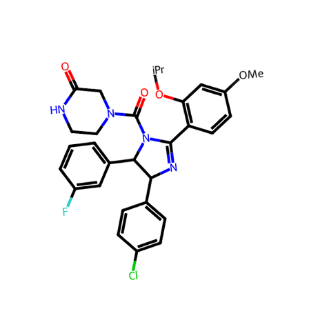 COc1ccc(C2=NC(c3ccc(Cl)cc3)C(c3cccc(F)c3)N2C(=O)N2CCNC(=O)C2)c(OC(C)C)c1